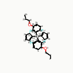 CCCOc1ccc(F)[c]([Ti]([C]2=CC=CC2)([C]2=CC=CC2)[c]2c(F)ccc(OCCC)c2F)c1F